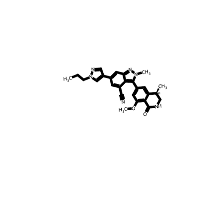 CCCn1cc(-c2cc(C#N)c3c(-c4cc(OC)c5c(c4)[C@@H](C)CNC5=O)n(C)nc3c2)cn1